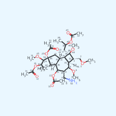 COC[C@@H]1[C@H]2C(OC)[C@@H](CN)C(OC(C)=O)[C@H]3[C@@H](C)[C@@](OC(C)=O)(C(OC)C(C)OC(C)=O)C[C@H]3C2[C@@]1(CC(C)OC(C)=O)OC